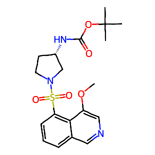 COc1cncc2cccc(S(=O)(=O)N3CC[C@H](NC(=O)OC(C)(C)C)C3)c12